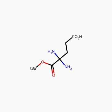 CC(C)(C)OC(=O)C(N)(N)CCC(=O)O